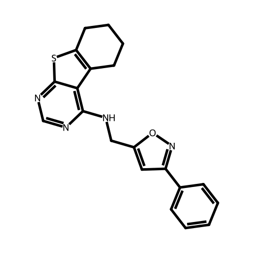 c1ccc(-c2cc(CNc3ncnc4sc5c(c34)CCCC5)on2)cc1